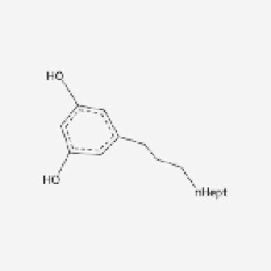 CCCCCCCCCCc1cc(O)cc(O)c1